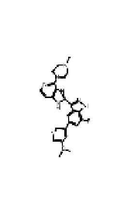 CN1CCN(c2nccc3[nH]c(-c4n[nH]c5c(F)cc(-c6cncc(N(C)C)c6)cc45)nc23)CC1